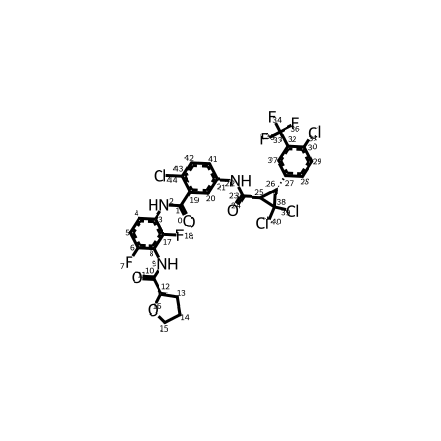 O=C(Nc1ccc(F)c(NC(=O)C2CCCO2)c1F)c1cc(NC(=O)C2[C@H](c3ccc(Cl)c(C(F)(F)F)c3)C2(Cl)Cl)ccc1Cl